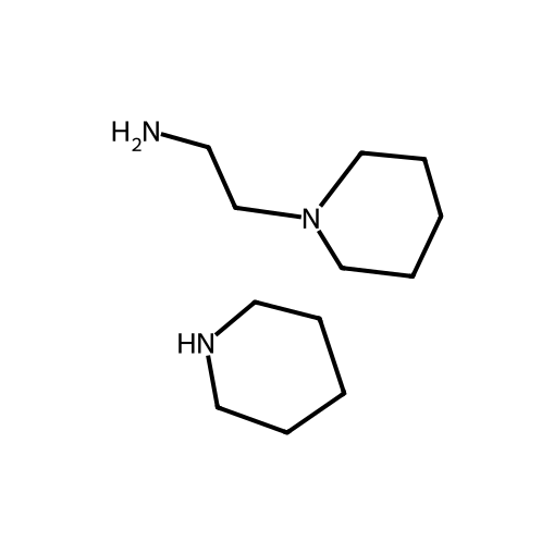 C1CCNCC1.NCCN1CCCCC1